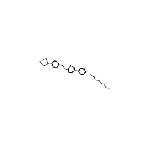 CCCCCCCCOc1ccc(-c2ccc(CCc3ccc(C4CCC(C)CC4)c(F)c3F)cc2)cc1F